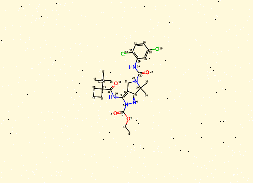 CCOC(=O)n1nc2c(c1NC(=O)C1([Si](C)(C)C)CCC1)CN(C(=O)Nc1cc(Cl)ccc1Cl)C2(C)C